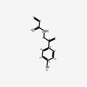 C=CC(=O)NCC(=C)c1ccc(Br)cc1